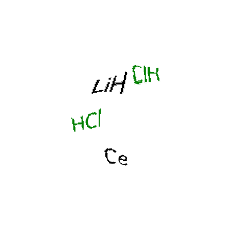 Cl.Cl.[Ce].[LiH]